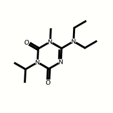 CCN(CC)c1nc(=O)n(C(C)C)c(=O)n1C